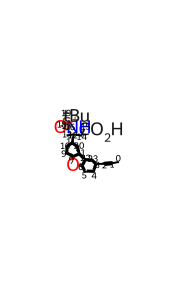 CC#Cc1ccc2oc3ccc(C(C)(CC(=O)O)N[S@+]([O-])C(C)(C)C)cc3c2c1